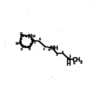 CNCCNCCc1ccccn1